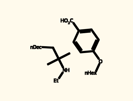 CCCCCCCCCCCC(C)(C)NCC.CCCCCCOc1ccc(C(=O)O)cc1